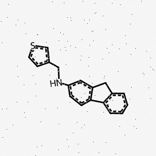 c1ccc2c(c1)Cc1cc(NCc3ccsc3)ccc1-2